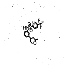 CCC(CC(C)=O)c1cccc(NS(=O)(=O)c2ccc(C(F)(F)F)cn2)c1